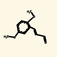 COc1ccc(OC)c(C=CC=O)c1